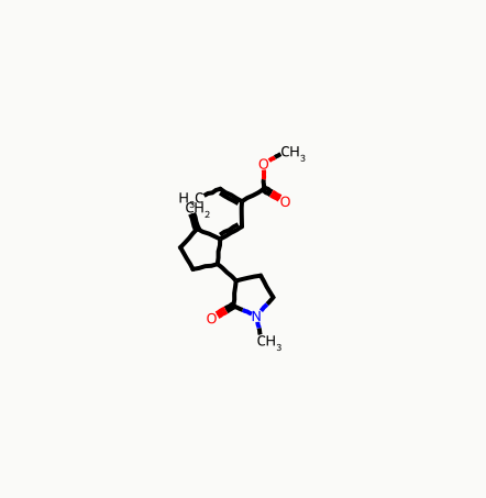 C=C1CCC(C2CCN(C)C2=O)/C1=C/C(=C\C)C(=O)OC